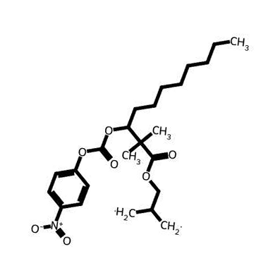 [CH2]C([CH2])COC(=O)C(C)(C)C(CCCCCCCC)OC(=O)Oc1ccc([N+](=O)[O-])cc1